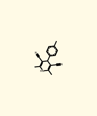 CC1=C(C#N)C(c2ccc(C)cc2)C(C#N)=C(C)N1